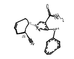 N#C[C@H]1CC=CC[C@@H]1n1cc(C(N)=O)c(Nc2ccccc2)n1